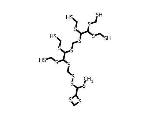 CSC(SSCSC(SCS)C(SCS)SCSC(SCS)C(SCS)SCS)C1SCS1